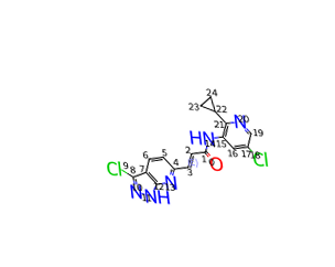 O=C(/C=C/c1ccc2c(Cl)n[nH]c2n1)Nc1cc(Cl)cnc1C1CC1